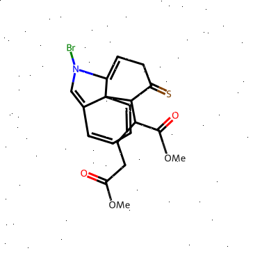 COC(=O)CCC(C(=O)OC)C1C(=S)CC=C2N(Br)C=C3C=CC=CC321